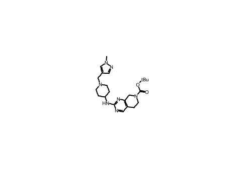 Cn1cc(CN2CCC(Nc3ncc4c(n3)CN(C(=O)OC(C)(C)C)CC4)CC2)cn1